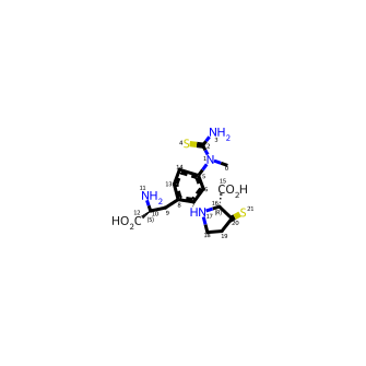 CN(C(N)=S)c1ccc(C[C@H](N)C(=O)O)cc1.O=C(O)[C@H]1NCCC1=S